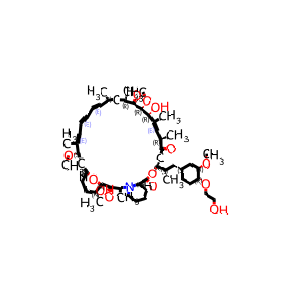 CO[C@H]1C[C@@H]2CC[C@@H](C)[C@@](O)(O2)C(=O)C(C)N2CCCC[C@H]2C(=O)O[C@H]([C@@H](C)C[C@@H]2CC[C@@H](OCCO)[C@H](OC)C2)CC(=O)[C@H](C)/C=C(\C)[C@@H](O)[C@@H](OC)C(=O)[C@H](C)C[C@H](C)/C=C/C=C/C=C/1C